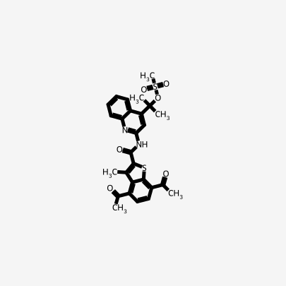 CC(=O)c1ccc(C(C)=O)c2c(C)c(C(=O)Nc3cc(C(C)(C)OS(C)(=O)=O)c4ccccc4n3)sc12